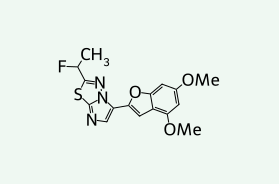 COc1cc(OC)c2cc(-c3cnc4sc(C(C)F)nn34)oc2c1